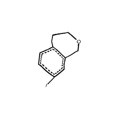 Ic1ccc2c(c1)COCC2